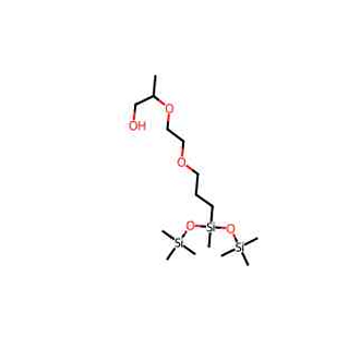 CC(CO)OCCOCCC[Si](C)(O[Si](C)(C)C)O[Si](C)(C)C